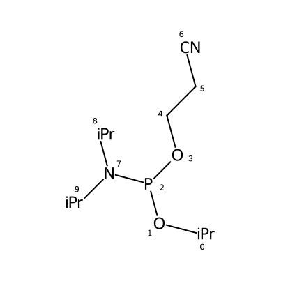 CC(C)OP(OCCC#N)N(C(C)C)C(C)C